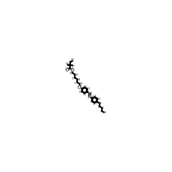 CCCCCc1ccc(/N=N/c2ccc(OCCCCCCOC(=O)C(C)(C)CC)cc2)cc1